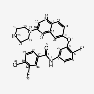 O=C(Nc1ccc(F)c(Oc2ccc3ncc(N4CCNCC4)nc3c2)c1)c1ccc(Cl)c(F)c1